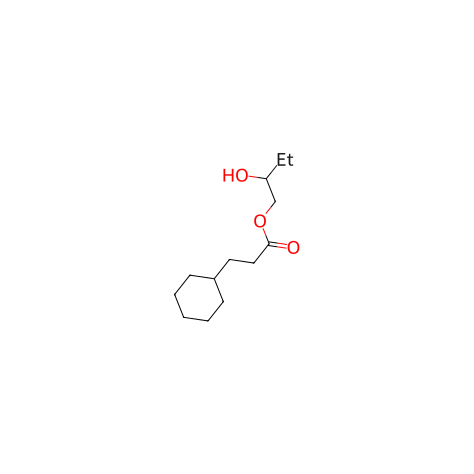 CCC(O)COC(=O)CCC1CCCCC1